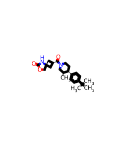 C[C@@H]1CN(C(=O)[C@H]2C[C@]3(COC(=O)N3)C2)CC[C@@H]1c1ccc(C(C)(C)C)cc1